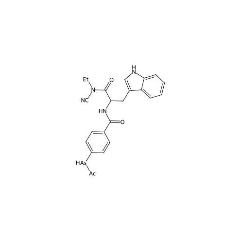 CCN(C#N)C(=O)C(Cc1c[nH]c2ccccc12)NC(=O)c1ccc([AsH]C(C)=O)cc1